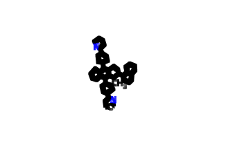 CC1c2c(c(-c3ccc(-c4ccccn4)cc3)c3ccccc3c2-c2ccc(-c3ccccn3)cc2)C=CC1c1cccc2ccccc12